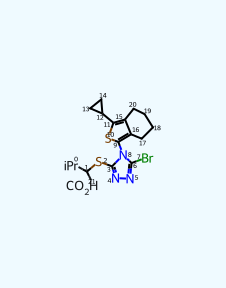 CC(C)C(Sc1nnc(Br)n1-c1sc(C2CC2)c2c1CCCC2)C(=O)O